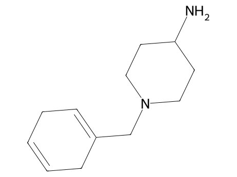 NC1CCN(CC2=CCC=CC2)CC1